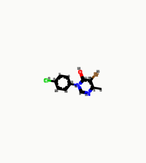 Cc1ncn(-c2ccc(Cl)cc2)c(=O)c1Br